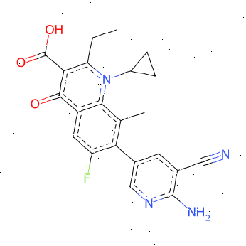 CCc1c(C(=O)O)c(=O)c2cc(F)c(-c3cnc(N)c(C#N)c3)c(C)c2n1C1CC1